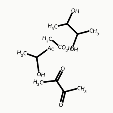 CC(=O)C(C)=O.CC(=O)C(C)O.CC(=O)O.CC(O)C(C)O